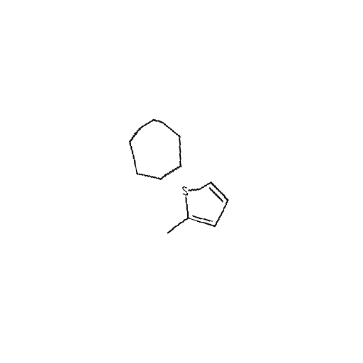 C1CCCCC1.Cc1cccs1